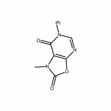 CC(C)n1cnc2oc(=O)n(C)c2c1=O